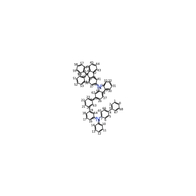 c1ccc(-c2ccc(N(c3ccccc3)c3cccc(-c4cccc(-c5ccc6c7ccccc7n(-c7ccc8c(c7)-c7ccccc7C8(c7ccccc7)c7ccccc7)c6c5)c4)c3)cc2)cc1